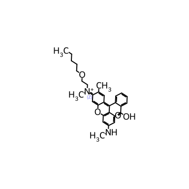 CCCCCOCC/[N+](C)=c1/cc2oc3cc(NC)ccc3c(-c3ccccc3C(=O)O)c-2cc1C